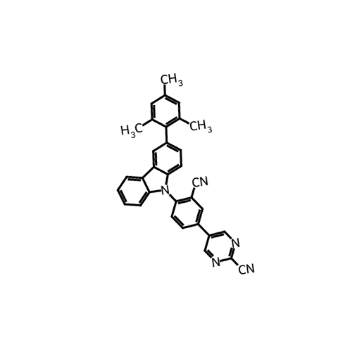 Cc1cc(C)c(-c2ccc3c(c2)c2ccccc2n3-c2ccc(-c3cnc(C#N)nc3)cc2C#N)c(C)c1